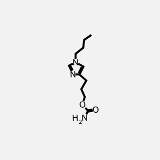 CCCCn1cnc(CCCOC(N)=O)c1